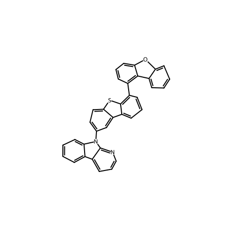 c1ccc2c(c1)oc1cccc(-c3cccc4c3sc3ccc(-n5c6ccccc6c6cccnc65)cc34)c12